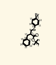 CC(C)(C)OC(=O)C(CSc1ccc(Br)cc1)Cc1ccccc1